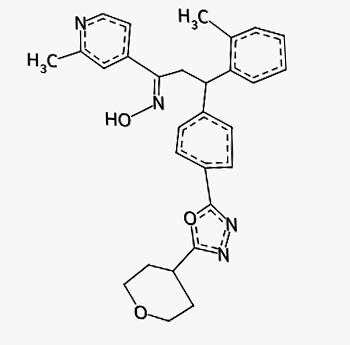 Cc1cc(C(CC(c2ccc(-c3nnc(C4CCOCC4)o3)cc2)c2ccccc2C)=NO)ccn1